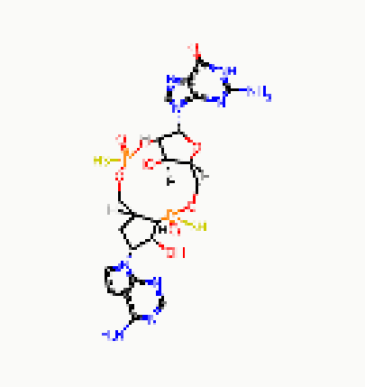 Nc1nc2c(ncn2[C@@H]2O[C@@H]3CO[P@@](=O)(S)[C@@H]4[C@@H](CO[P@@](=O)(S)O[C@@H]2[C@@H]3O)C[C@@H](n2ccc3c(N)ncnc32)[C@@H]4O)c(=O)[nH]1